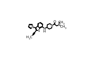 CC#Cc1sc2c(NC3CCN(C(=O)CN(C)C)CC3)cccc2c1-n1cccc1